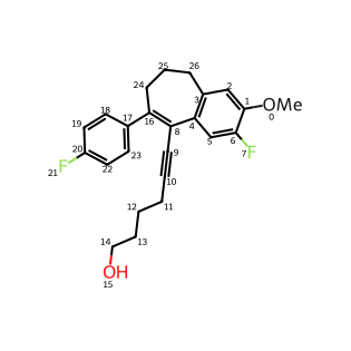 COc1cc2c(cc1F)C(C#CCCCCO)=C(c1ccc(F)cc1)CCC2